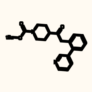 CC(C)(C)OC(=O)N1CCC(C(=O)Cc2ccccc2-c2cccnc2)CC1